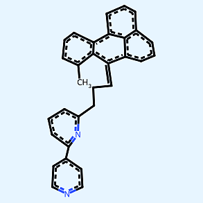 Cc1cccc2c1/c(=C\CCc1cccc(-c3ccncc3)n1)c1cccc3cccc2c31